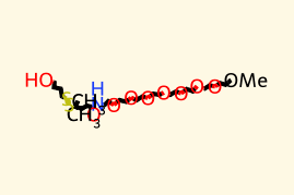 COCCOCCOCCOCCOCCOCCOCCOCCNC(=O)CCC(C)(C)SSCCCCO